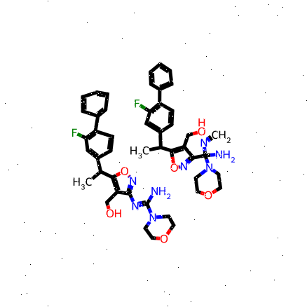 C=NC(N)(c1noc(C(C)c2ccc(-c3ccccc3)c(F)c2)c1CO)N1CCOCC1.CC(c1ccc(-c2ccccc2)c(F)c1)c1onc(/N=C(\N)N2CCOCC2)c1CO